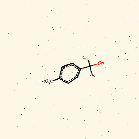 CC(=O)C(O)(C(C)=O)c1ccc(C(=O)O)cc1